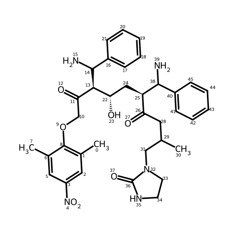 Cc1cc([N+](=O)[O-])cc(C)c1OCC(=O)[C@@H](C(N)c1ccccc1)[C@@H](O)C[C@H](C(=O)CC(C)CN1CCNC1=O)C(N)c1ccccc1